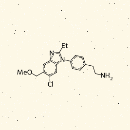 CCc1nc2cc(COC)c(Cl)cc2n1-c1ccc(CCN)cc1